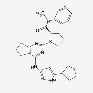 CN(C(=O)[C@H]1CCCN1c1nc2c(c(Nc3cc(C4CCCC4)[nH]n3)n1)CCC2)c1cccnc1